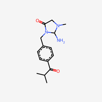 CC(C)C(=O)c1ccc(CN2C(=O)CN(C)C2N)cc1